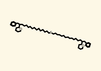 c1ccc(CC(CCCCCCCCCCCCCCSCCCCCCCCCCCCCCC(Cc2ccccc2)C2CCCCO2)C2CCCCO2)cc1